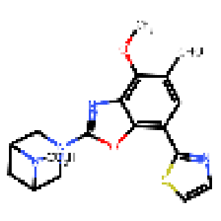 O=Cc1cc(-c2nccs2)c2oc(N3CC4CC(C3)N4C(=O)O)nc2c1OC(F)(F)F